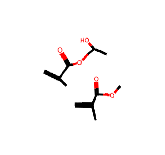 C=C(C)C(=O)OC.C=C(C)C(=O)OC(C)O